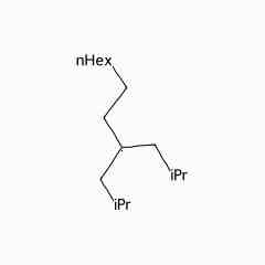 CCCCCCCC[C](CC(C)C)CC(C)C